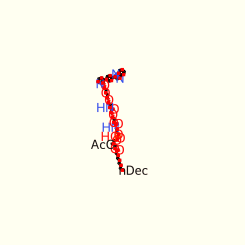 CCCCCCCCCCCCCCCCCC(=O)OCC(COP(=O)(O)OCCNC(=O)OCCOCC(=O)NCCOCCOCCOc1ncccc1-c1ccc(-c2cnc3ccccc3n2)cc1)OC(C)=O